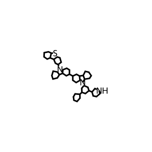 C1CCC(C2CC(C3CCCNC3)CC(N3C4CCCCC4C4CC(C5CCC6C(C5)C5CCCCC5N6C5CCC6SC7CCCCC7C6C5)CCC43)C2)CC1